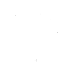 CSCCC(N)C(=O)O.O=C(O)CCl